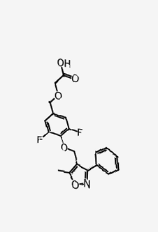 Cc1onc(-c2ccccc2)c1COc1c(F)cc(COCC(=O)O)cc1F